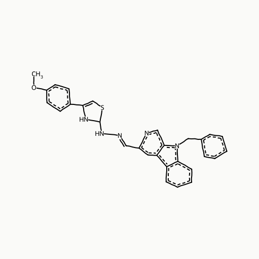 COc1ccc(C2=CSC(NN=Cc3cc4c5ccccc5n(Cc5ccccc5)c4cn3)N2)cc1